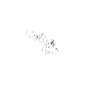 C[C@H](NS(=O)(=O)c1ccc(-c2sc(-c3noc(CC(C)(C)OC=O)n3)nc2CC2CCCCC2)c2ccncc12)C(F)(F)F